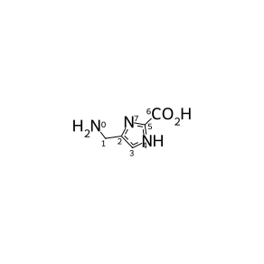 NCc1c[nH]c(C(=O)O)n1